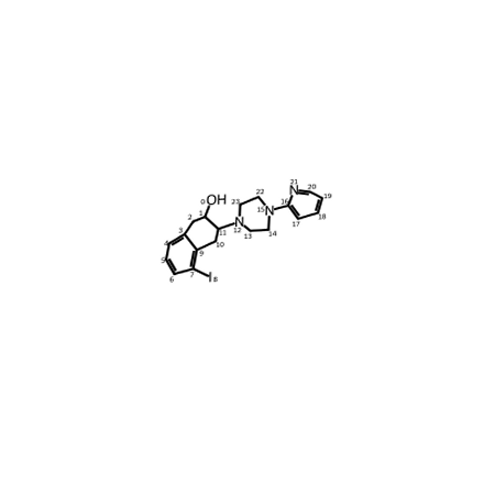 OC1Cc2cccc(I)c2CC1N1CCN(c2ccccn2)CC1